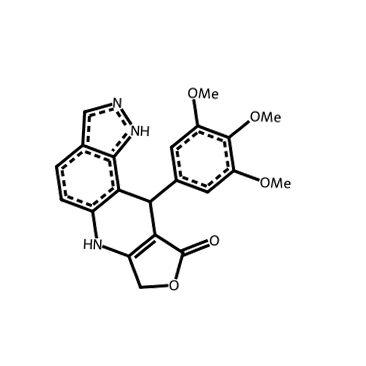 COc1cc(C2C3=C(COC3=O)Nc3ccc4cn[nH]c4c32)cc(OC)c1OC